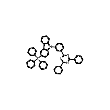 c1ccc(-c2nc(-c3ccccc3)nc(-c3cccc(-n4c5ccccc5c5cc(S(c6ccccc6)(c6ccccc6)c6ccccc6)ccc54)c3)n2)cc1